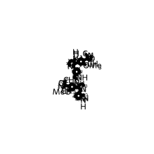 COc1cc2c(cc1-c1c(C)noc1C)[nH]c1ccnc(-c3ccc4[nH]c(-n5c6cc(-c7c(C)noc7C)c(OC)cc6c6c(-c7cccc8[nH]ncc78)nccc65)cc4c3)c12